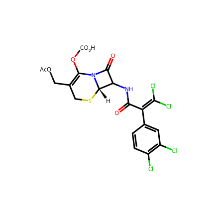 CC(=O)OCC1=C(OC(=O)O)N2C(=O)C(NC(=O)C(=C(Cl)Cl)c3ccc(Cl)c(Cl)c3)[C@@H]2SC1